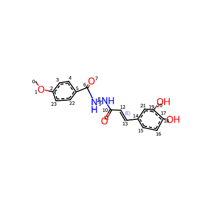 COc1ccc(C(=O)NNC(=O)/C=C/c2ccc(O)c(O)c2)cc1